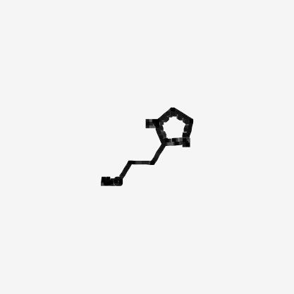 [CH2]OCCc1ncc[nH]1